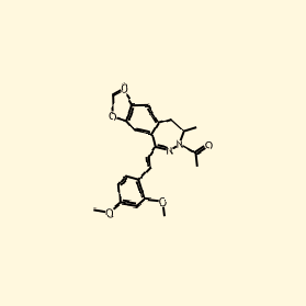 COc1ccc(/C=C/C2=NN(C(C)=O)C(C)Cc3cc4c(cc32)OCO4)c(OC)c1